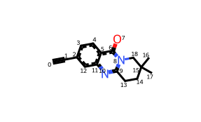 C#Cc1ccc2c(=O)n3c(nc2c1)CCC(C)(C)C3